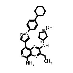 CCc1nc2c(N)ncc(-c3cnn(-c4ccc(C5CCCCC5)cc4)c3)c2nc1N[C@@H]1CC[C@H](O)C1